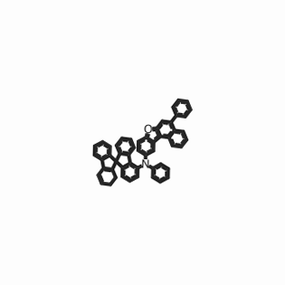 C1=CC2=C(CC1)C1(c3ccccc32)c2ccccc2-c2c(N(c3ccccc3)c3ccc4oc5cc(-c6ccccc6)c6ccccc6c5c4c3)cccc21